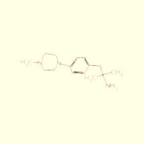 CN1CCN(c2ccc(CC(C)(C)N)cc2)CC1